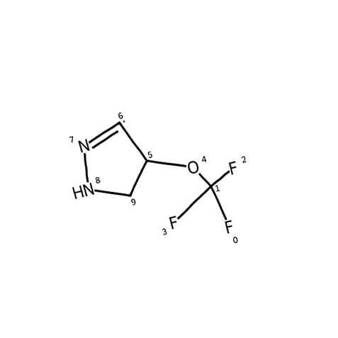 FC(F)(F)OC1[C]=NNC1